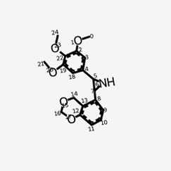 COc1cc(C2NC2c2cccc3c2COCO3)cc(OC)c1OC